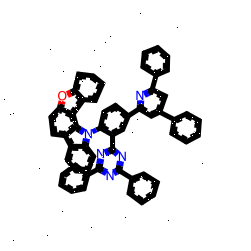 c1ccc(-c2cc(-c3ccccc3)nc(-c3ccc(-n4c5ccccc5c5ccc6oc7ccccc7c6c54)c(-c4nc(-c5ccccc5)nc(-c5ccccc5)n4)c3)c2)cc1